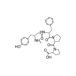 NC(CC(=O)NC(Cc1ccccc1)C(=O)N1CCCC1C(=O)N1CCCC1C(=O)O)Cc1ccc(O)cc1